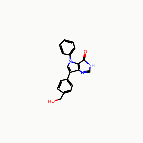 O=c1[nH]cnc2c(-c3ccc(CO)cc3)cn(-c3ccccc3)c12